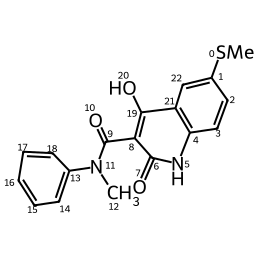 CSc1ccc2[nH]c(=O)c(C(=O)N(C)c3ccccc3)c(O)c2c1